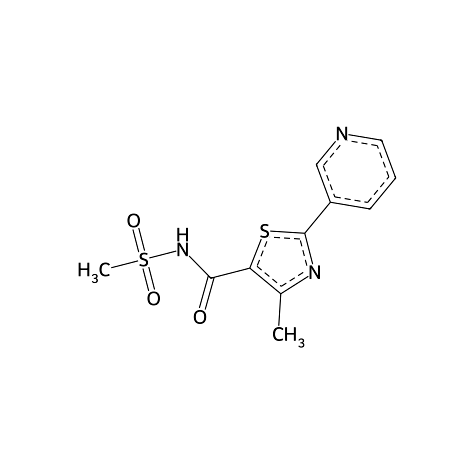 Cc1nc(-c2cccnc2)sc1C(=O)NS(C)(=O)=O